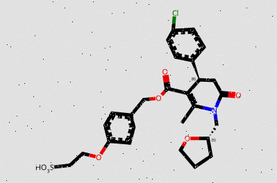 CC1=C(C(=O)OCc2ccc(OCCS(=O)(=O)O)cc2)[C@@H](c2ccc(Cl)cc2)CC(=O)N1C[C@@H]1CCCO1